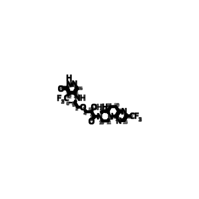 C[C@@H](COCC(O)C(=O)N1CCN2c3ncc(C(F)(F)F)nc3CC[C@@H]2C1)Nc1cn[nH]c(=O)c1C(F)(F)F